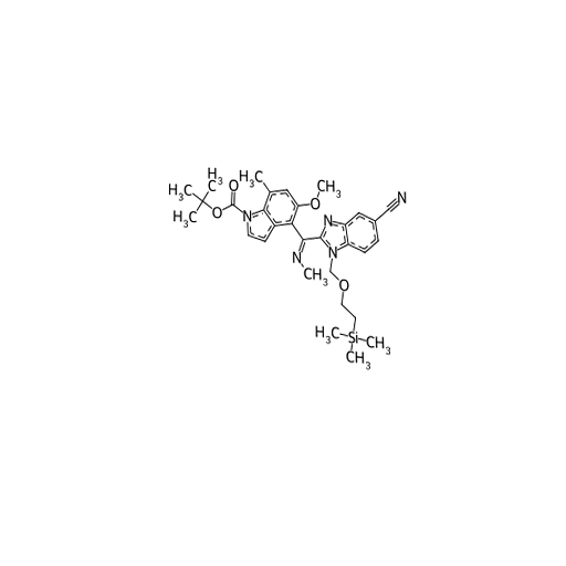 CN=C(c1c(OC)cc(C)c2c1ccn2C(=O)OC(C)(C)C)c1nc2cc(C#N)ccc2n1COCC[Si](C)(C)C